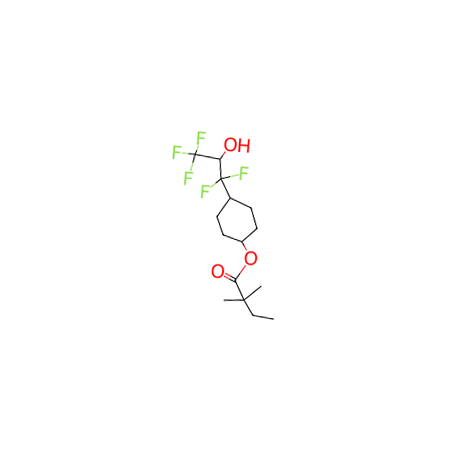 CCC(C)(C)C(=O)OC1CCC(C(F)(F)C(O)C(F)(F)F)CC1